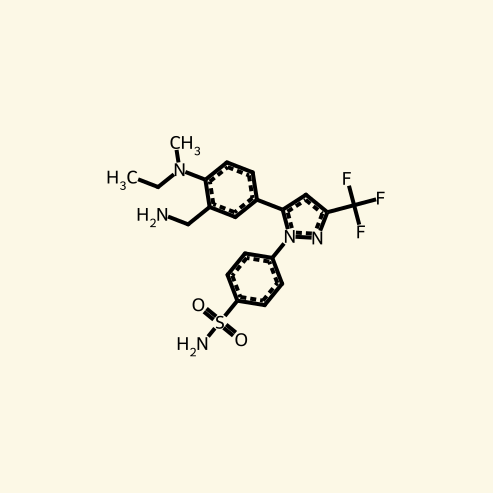 CCN(C)c1ccc(-c2cc(C(F)(F)F)nn2-c2ccc(S(N)(=O)=O)cc2)cc1CN